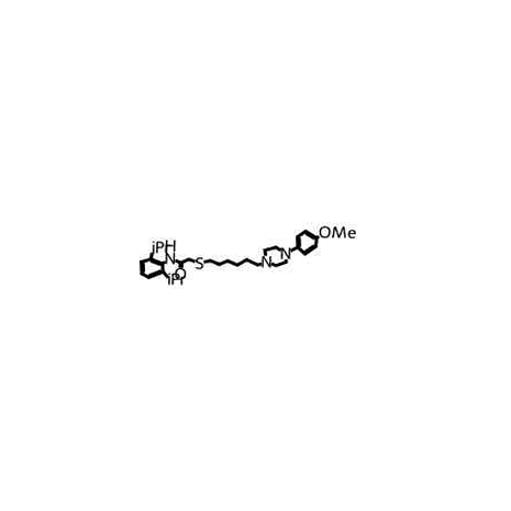 COc1ccc(N2CCN(CCCCCCSCC(=O)Nc3c(C(C)C)cccc3C(C)C)CC2)cc1